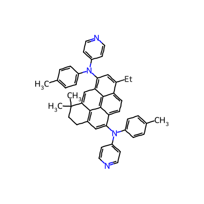 CCc1cc(N(c2ccncc2)c2ccc(C)cc2)c2cc3c4c(cc(N(c5ccncc5)c5ccc(C)cc5)c5ccc1c2c54)CCC3(C)C